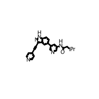 CC(C)CC(=O)Nc1cncc(-c2ccc3[nH]nc(C#Cc4ccncc4)c3c2)c1